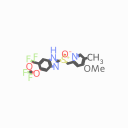 COc1cc(C[S+]([O-])c2nc3cc4c(cc3[nH]2)C(F)(F)OC(F)(F)O4)ncc1C